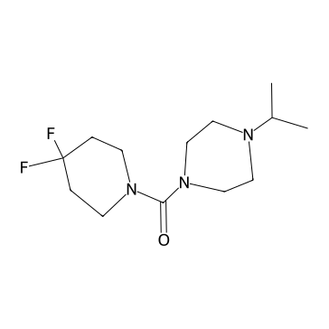 CC(C)N1CCN(C(=O)N2CCC(F)(F)CC2)CC1